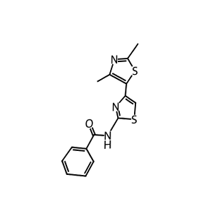 Cc1nc(C)c(-c2csc(NC(=O)c3ccccc3)n2)s1